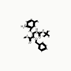 COC(=O)[C@@H](OCc1ccccc1)[C@H](Cc1cc(C)ccc1N)NC(=O)OC(C)(C)C